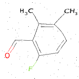 Cc1ccc(F)c(C=O)c1C